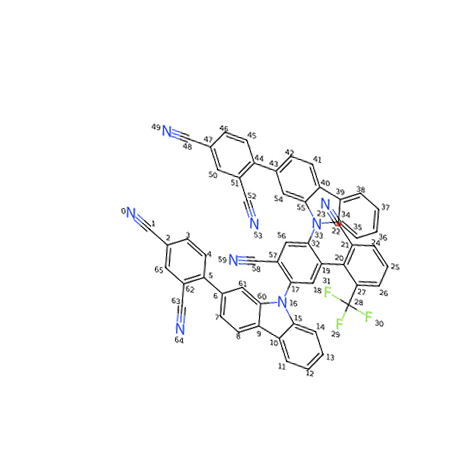 N#Cc1ccc(-c2ccc3c4ccccc4n(-c4cc(-c5c(C#N)cccc5C(F)(F)F)c(-n5c6ccccc6c6ccc(-c7ccc(C#N)cc7C#N)cc65)cc4C#N)c3c2)c(C#N)c1